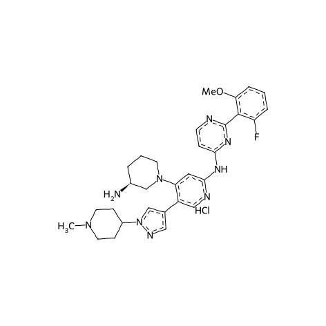 COc1cccc(F)c1-c1nccc(Nc2cc(N3CCC[C@H](N)C3)c(-c3cnn(C4CCN(C)CC4)c3)cn2)n1.Cl